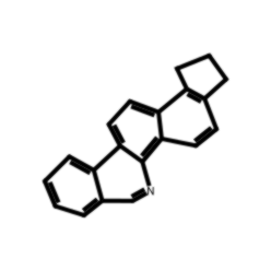 c1ccc2c(c1)cnc1c3ccc4c(c3ccc21)CCC4